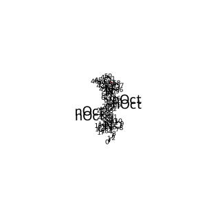 C=C/C=C\C=C(/c1ccccc1)N(c1ccccc1)c1ccc2c(c1)C(CCCCCCCC)(CCCCCCCC)c1cc3c(cc1-2)C(CCCCCCCC)(CCCCCCCC)c1cc(N(C(/C=C\C=C/C)=C2/C=CC=CC2C)c2ccccc2)ccc1-3